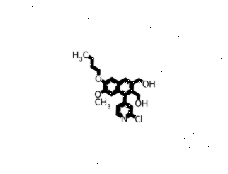 CCCCOc1cc2cc(CO)c(CO)c(-c3ccnc(Cl)c3)c2cc1OC